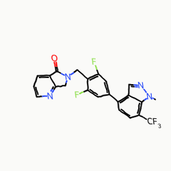 Cn1ncc2c(-c3cc(F)c(CN4Cc5ncccc5C4=O)c(F)c3)ccc(C(F)(F)F)c21